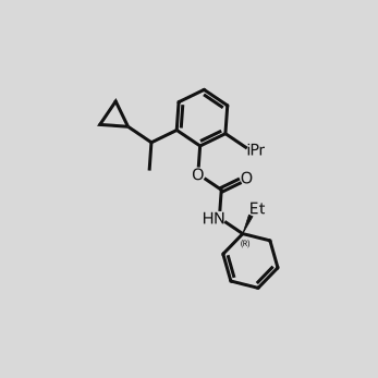 CC[C@]1(NC(=O)Oc2c(C(C)C)cccc2C(C)C2CC2)C=CC=CC1